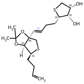 C=CCC[C@@H]1SC[C@]2(/C=C/CC[C@@H]3SC[C@H](O)[C@@H]3O)OC(C)(C)O[C@H]12